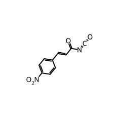 O=C=NC(=O)/C=C/c1ccc([N+](=O)[O-])cc1